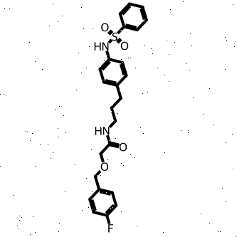 O=C(COCc1ccc(F)cc1)NCCCc1ccc(NS(=O)(=O)c2ccccc2)cc1